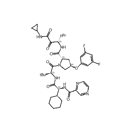 CCC[C@H](NC(=O)[C@@H]1C[C@@H](Oc2cc(F)cc(F)c2)CN1C(=O)[C@@H](NC(=O)[C@@H](NC(=O)c1cnccn1)C1CCCCC1)C(C)(C)C)C(=O)C(=O)NC1CC1